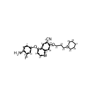 N#Cc1cc2c(Oc3ccc(N)c(F)c3)ccnc2cc1OCCCN1CCCCC1